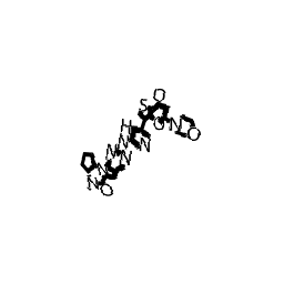 CN(C)C(=O)c1cc2cnc(Nc3cncc(-c4csc5c(=O)cc(N6CCOCC6)oc45)c3)nc2n1C1CCCC1